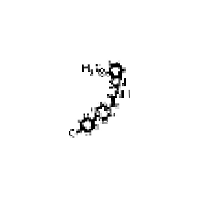 COc1cccc2nc(NCCN3CCN(c4ccc(Cl)cc4)CC3)sc12